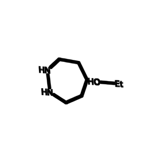 C1CCNNCC1.CCO